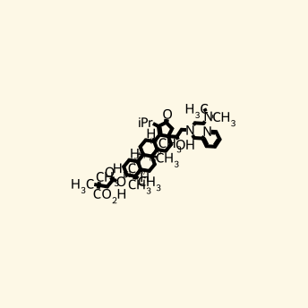 CC(C)C1=C2[C@H]3CC[C@@H]4[C@@]5(C)CC[C@H](OC(=O)CC(C)(C)C(=O)O)C(C)(C)[C@@H]5CC[C@@]4(C)[C@]3(C)CCC2(C(O)CN(CCN(C)C)Cc2ccccn2)CC1=O